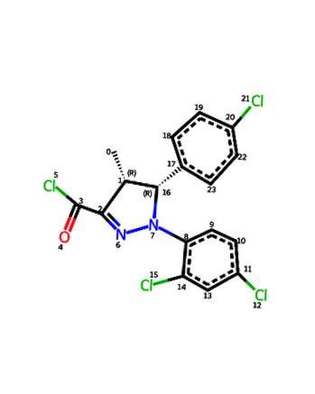 C[C@H]1C(C(=O)Cl)=NN(c2ccc(Cl)cc2Cl)[C@H]1c1ccc(Cl)cc1